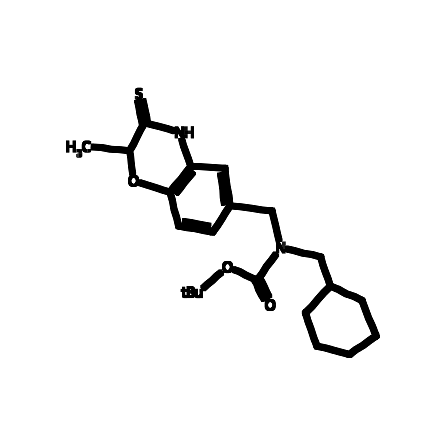 CC1Oc2ccc(CN(CC3CCCCC3)C(=O)OC(C)(C)C)cc2NC1=S